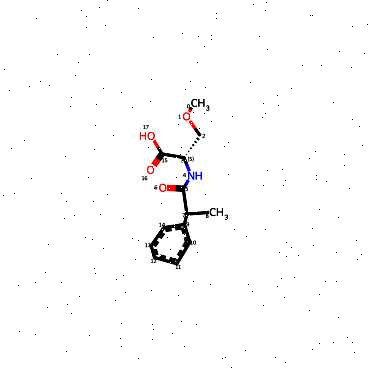 COC[C@H](NC(=O)C(C)c1ccccc1)C(=O)O